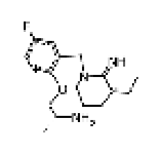 C/C=C1/CCCN(Cc2cc(F)cnc2OC[C@@H](C)N)C1=N